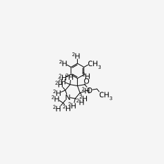 [2H]c1c([2H])c(C)c([2H])c(C2(C(=O)OCC)C([2H])([2H])C([2H])([2H])N(C([2H])([2H])[2H])C([2H])([2H])C2([2H])[2H])c1[2H]